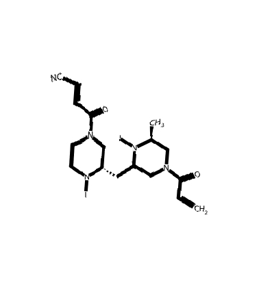 C=CC(=O)N1CC(C[C@H]2CN(C(=O)/C=C/C#N)CCN2I)N(I)[C@@H](C)C1